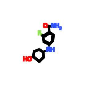 NC(=O)c1ccc(N[C@H]2CC[C@H](O)CC2)cc1F